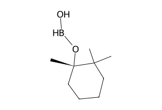 CC1(C)CCCC[C@]1(C)OBO